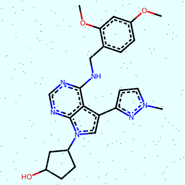 COc1ccc(CNc2ncnc3c2c(-c2ccn(C)n2)cn3C2CCC(O)C2)c(OC)c1